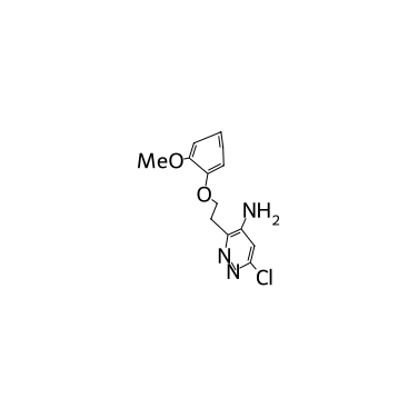 COc1ccccc1OCCc1nnc(Cl)cc1N